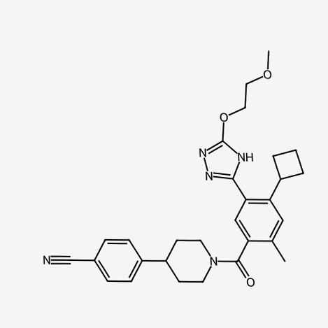 COCCOc1nnc(-c2cc(C(=O)N3CCC(c4ccc(C#N)cc4)CC3)c(C)cc2C2CCC2)[nH]1